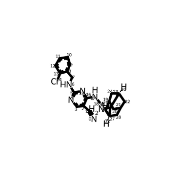 N#Cc1cnc(NCc2ccccc2Cl)nc1NC[C@@]12CC3C[C@H](C1)[C@@H](N)[C@@H](C3)C2